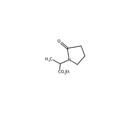 CCOC(=O)C(C)N1CCCC1=O